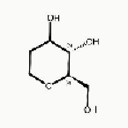 OC[C@H]1OCCC(O)[C@@H]1O